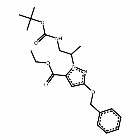 CCOC(=O)c1cc(OCc2ccccc2)nn1C(C)CNC(=O)OC(C)(C)C